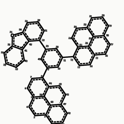 c1cc2ccc3ccc(-c4cc(-c5ccc6ccc7cccc8ccc5c6c78)cc(-c5cccc6oc7ccccc7c56)c4)c4ccc(c1)c2c34